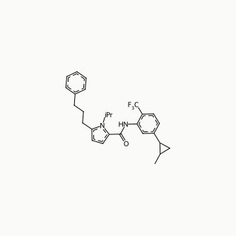 CC1CC1c1ccc(C(F)(F)F)c(NC(=O)c2ccc(CCCc3ccccc3)n2C(C)C)c1